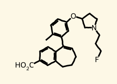 Cc1ccc(OC2CCN(CCCF)C2)cc1C1=CCCCc2cc(C(=O)O)ccc21